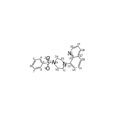 O=S(=O)(c1ccccc1)N1CCN(c2cccc3cccnc23)CC1